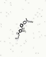 COC(C)N1CCN(c2cccc(Nc3ccc(C(=O)OCCO)cc3[N+](=O)[O-])c2)CC1